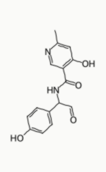 Cc1cc(O)c(C(=O)NC(C=O)c2ccc(O)cc2)cn1